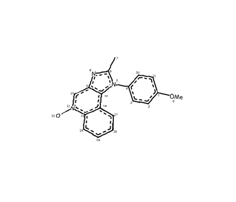 COc1ccc(-n2c(C)nc3c[n+]([O-])c4ccccc4c32)cc1